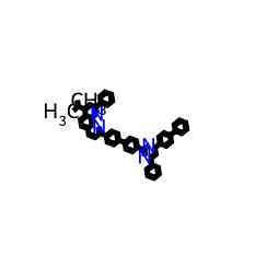 CC(C)c1cc(-c2ccccc2)nc2c1ccc1ccc(-c3ccc(-c4ccc(-c5nc(-c6ccccc6)cc(-c6ccc(-c7ccccc7)cc6)n5)cc4)cc3)nc12